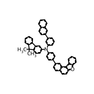 CC1(C)c2ccccc2-c2cc(N(c3ccc(-c4ccc5ccc6oc7ccccc7c6c5c4)cc3)c3cccc(-c4ccc5ccccc5c4)c3)ccc21